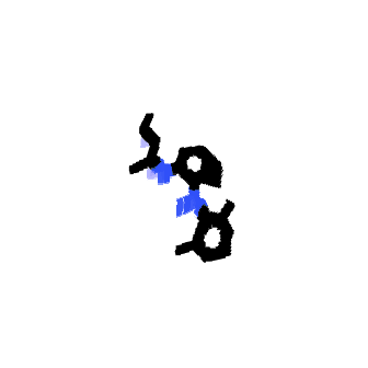 C/C=C/C(C)=N\c1ccccc1Nc1c(C)cccc1C